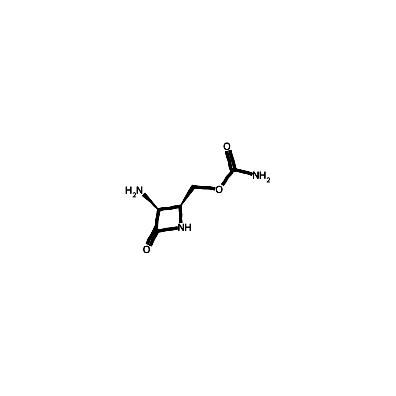 NC(=O)OC[C@H]1NC(=O)[C@H]1N